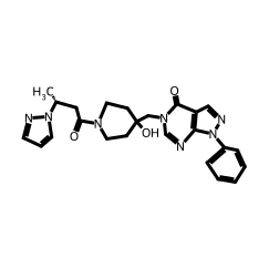 C[C@H](CC(=O)N1CCC(O)(Cn2cnc3c(cnn3-c3ccccc3)c2=O)CC1)n1cccn1